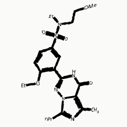 CCCc1nc(C)c2c(=O)[nH]c(-c3cc(S(=O)(=O)N(CC)CCOC)ccc3OCC)nn12